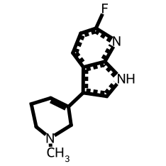 CN1CCC=C(c2c[nH]c3nc(F)ccc23)C1